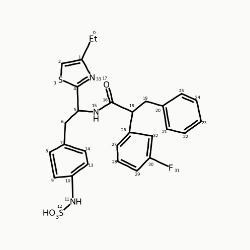 CCc1csc(C(Cc2ccc(NS(=O)(=O)O)cc2)NC(=O)C(Cc2ccccc2)c2cccc(F)c2)n1